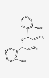 C=CC(SC(C=C)c1ccccc1OC(C)=O)c1ccccc1OC(C)=O